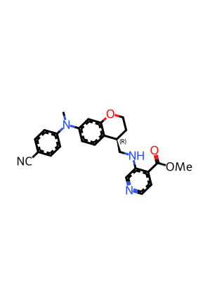 COC(=O)c1ccncc1NC[C@@H]1CCOc2cc(N(C)c3ccc(C#N)cc3)ccc21